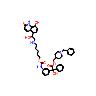 O=C(Nc1cccc(C(O)(C(=O)OCC2CCN(Cc3ccccc3)CC2)c2ccccc2)c1)OCCCCCNCC(O)c1ccc(O)c2[nH]c(=O)ccc12